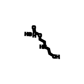 O=[PH](O)OCCNCCO